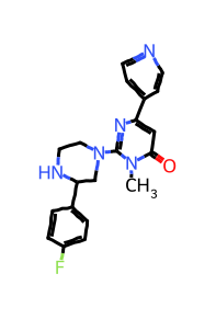 Cn1c(N2CCNC(c3ccc(F)cc3)C2)nc(-c2ccncc2)cc1=O